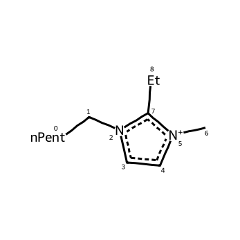 CCCCCCn1cc[n+](C)c1CC